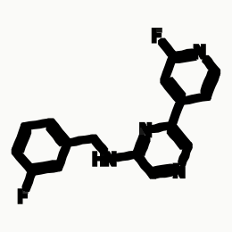 Fc1cccc(CNc2cncc(-c3ccnc(F)c3)n2)c1